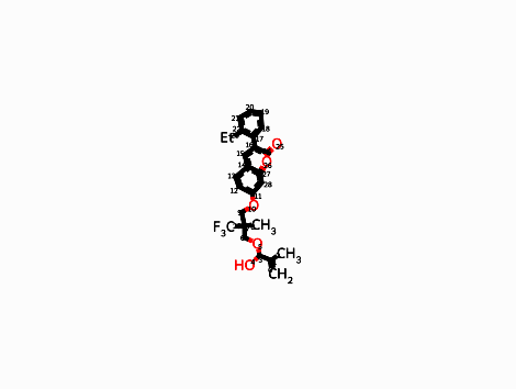 C=C(C)C(O)OCC(C)(COc1ccc2cc(-c3ccccc3CC)c(=O)oc2c1)C(F)(F)F